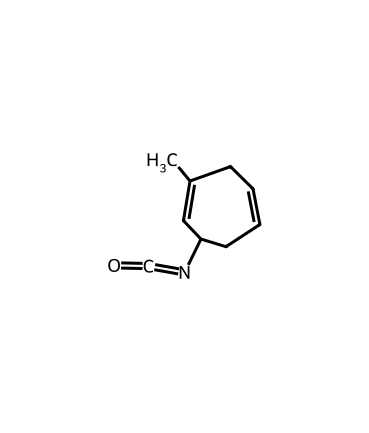 CC1=CC(N=C=O)CC=CC1